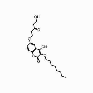 CCCCCCCCOc1c(O)c2cc(OCCC(=O)CCO)ccc2oc1=O